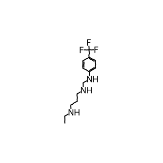 CCNCCCNCNc1ccc(C(F)(F)F)cc1